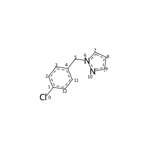 Clc1ccc(Cn2cc[c]n2)cc1